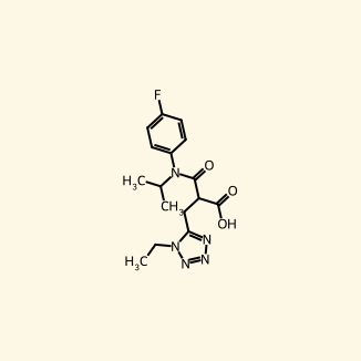 CCn1nnnc1CC(C(=O)O)C(=O)N(c1ccc(F)cc1)C(C)C